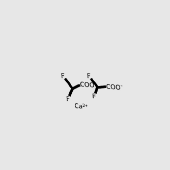 O=C([O-])C(F)F.O=C([O-])C(F)F.[Ca+2]